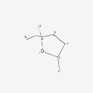 CC1C[CH]C(C)(C)O1